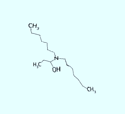 CCCCCCCN(CCCCCCC)C(O)CC